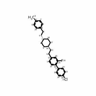 Cc1ccc(CC[C@H]2CC[C@H](CCc3ccc(-c4ccc(Cl)cc4)c(F)c3)CC2)cc1